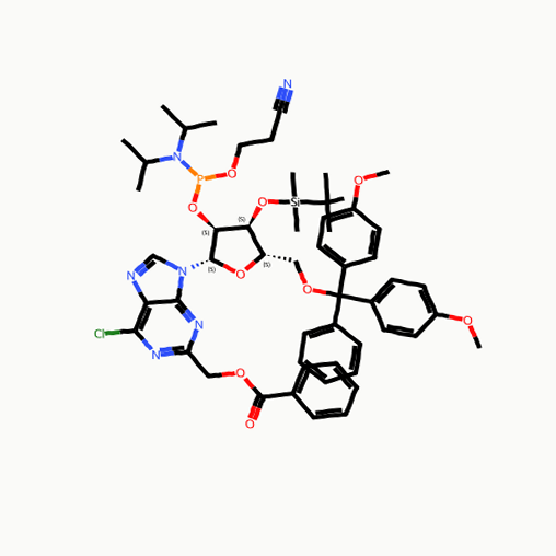 COc1ccc(C(OC[C@@H]2O[C@H](n3cnc4c(Cl)nc(COC(=O)c5ccccc5)nc43)[C@@H](OP(OCCC#N)N(C(C)C)C(C)C)[C@H]2O[Si](C)(C)C(C)(C)C)(c2ccccc2)c2ccc(OC)cc2)cc1